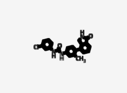 Cc1cc(NC(=O)Nc2cccc(Cl)c2)ccc1-c1cccc2c1CNC2=O